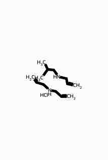 C=CCNCC(C)C.C=CCNCC=C.Cl